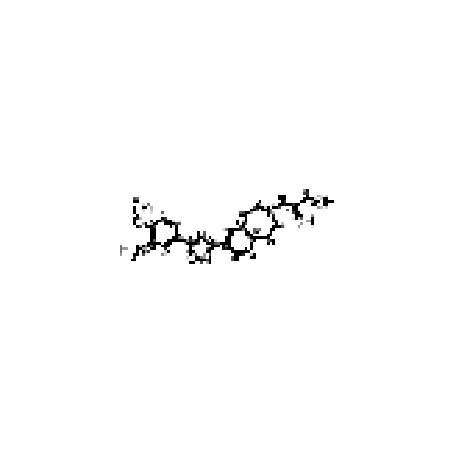 CCCOc1ccc(-c2nc(-c3ccc4c(c3)CCN(CC(O)CO)CC4)no2)cc1N